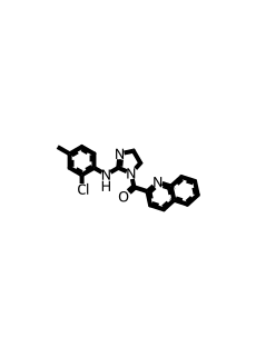 Cc1ccc(NC2=NCCN2C(=O)c2ccc3ccccc3n2)c(Cl)c1